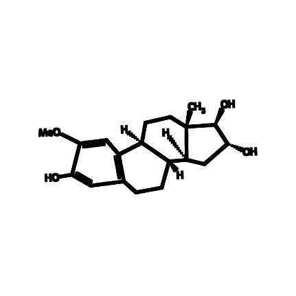 COc1cc2c(cc1O)CC[C@@H]1[C@@H]2CC[C@]2(C)[C@@H](O)[C@H](O)C[C@@H]12